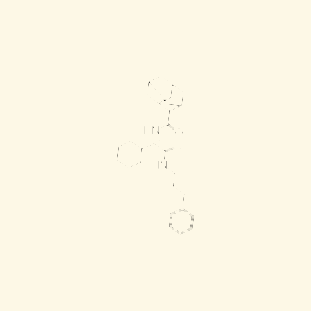 O=C(N[C@H](C(=O)NCCCc1ccccc1)C1CCCCC1)C1C2CC3CC(C2)CC1C3